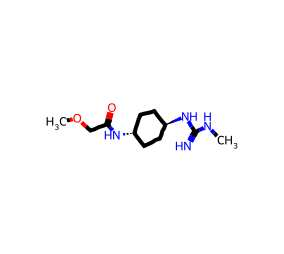 CNC(=N)N[C@H]1CC[C@H](NC(=O)COC)CC1